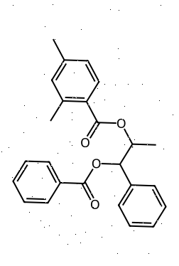 C[C](OC(=O)c1ccc(C)cc1C)C(OC(=O)c1ccccc1)c1ccccc1